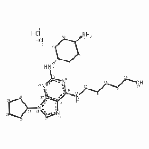 Cl.Cl.N[C@H]1CC[C@H](Nc2nc(NCCCCCO)c3ncn(C4CCCC4)c3n2)CC1